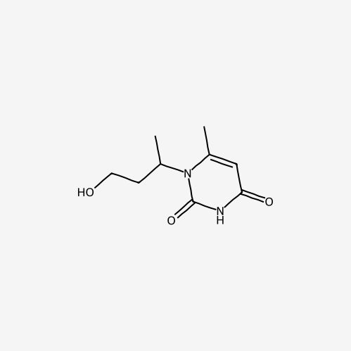 Cc1cc(=O)[nH]c(=O)n1C(C)CCO